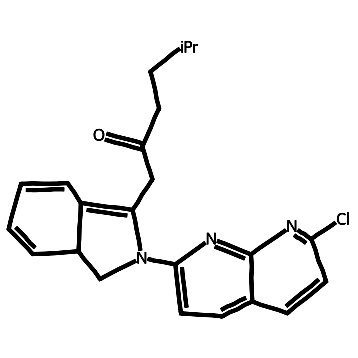 CC(C)CCC(=O)CC1=C2C=CC=CC2CN1c1ccc2ccc(Cl)nc2n1